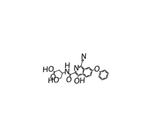 N#Cc1nc(C(=O)NC(CO)CC(=O)O)c(O)c2ccc(Oc3ccccc3)cc12